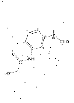 [O]CC(=O)Nc1cccc(N[C]=O)c1